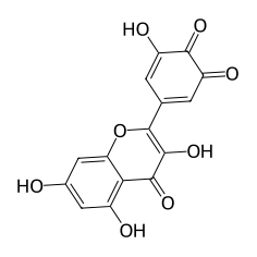 O=C1C=C(c2oc3cc(O)cc(O)c3c(=O)c2O)C=C(O)C1=O